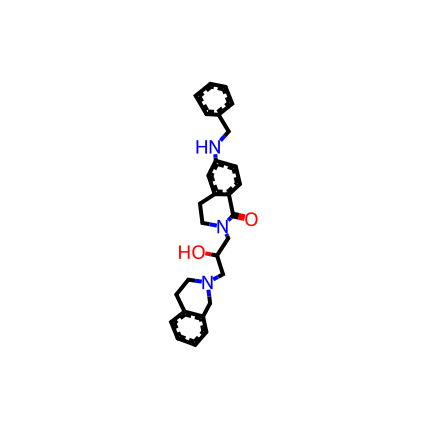 O=C1c2ccc(NCc3ccccc3)cc2CCN1CC(O)CN1CCc2ccccc2C1